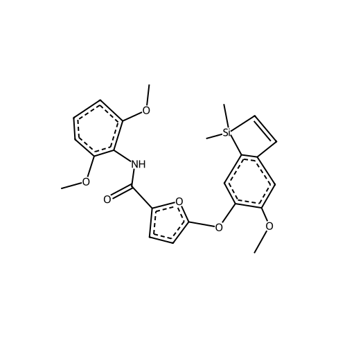 COc1cc2c(cc1Oc1ccc(C(=O)Nc3c(OC)cccc3OC)o1)[Si](C)(C)C=C2